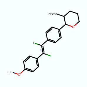 CCCCCC1CCCOC1c1ccc(/C(F)=C(\F)c2ccc(OC(F)(F)F)cc2)cc1